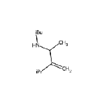 C=C(C(C)C)C(C)NC(C)CC